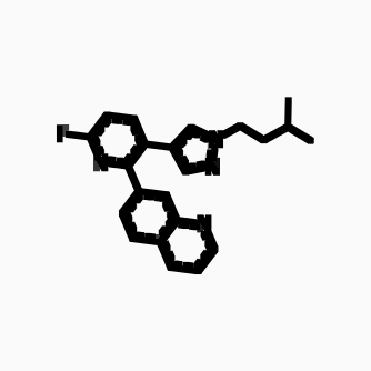 CC(C)CCn1cc(-c2ccc(F)nc2-c2ccc3cccnc3c2)cn1